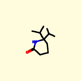 CC(C)C1(C(C)C)CCCC(=O)N1